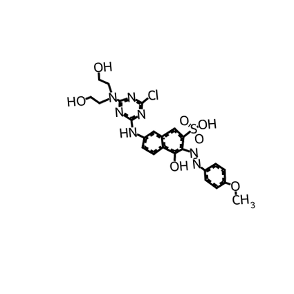 COc1ccc(N=Nc2c(S(=O)(=O)O)cc3cc(Nc4nc(Cl)nc(N(CCO)CCO)n4)ccc3c2O)cc1